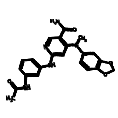 CC(=O)Nc1cccc(Nc2cc(N(C)c3ccc4c(c3)OCO4)c(C(N)=O)cn2)c1